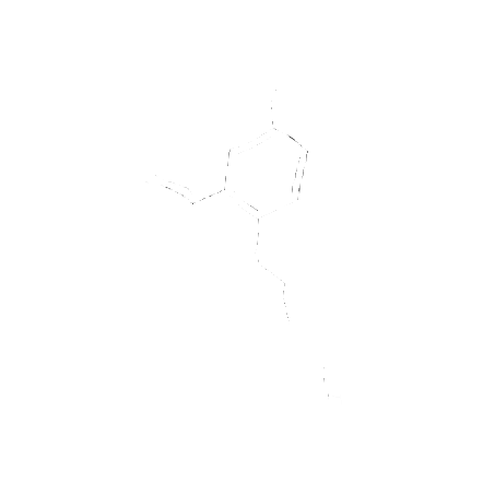 O=Cc1cc(Cl)ccc1OCCCO